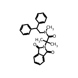 CN(CC(c1ccccc1)c1ccccc1)C(=O)C(C)(C)N1C(=O)c2ccccc2C1=O